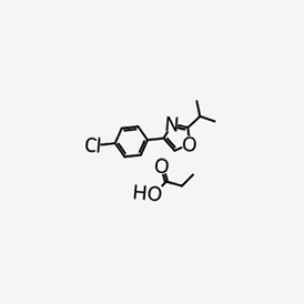 CC(C)c1nc(-c2ccc(Cl)cc2)co1.CCC(=O)O